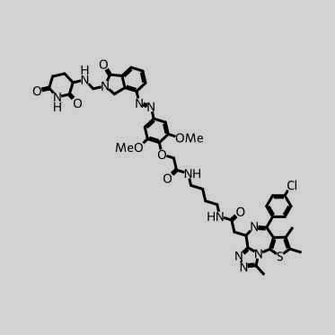 COc1cc(/N=N/c2cccc3c2CN(CNC2CCC(=O)NC2=O)C3=O)cc(OC)c1OCC(=O)NCCCCNC(=O)CC1N=C(c2ccc(Cl)cc2)c2c(sc(C)c2C)-n2c(C)nnc21